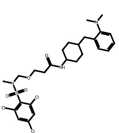 CN(C)c1ccccc1CC1CCC(NC(=O)CCOCN(C)S(=O)(=O)c2c(Cl)cc(Cl)cc2Cl)CC1